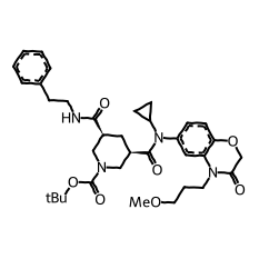 COCCCN1C(=O)COc2ccc(N(C(=O)[C@@H]3C[C@H](C(=O)NCCc4ccccc4)CN(C(=O)OC(C)(C)C)C3)C3CC3)cc21